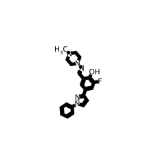 CN1CCN(/N=C/c2cc(-c3ccn(-c4ccccc4)n3)cc(F)c2O)CC1